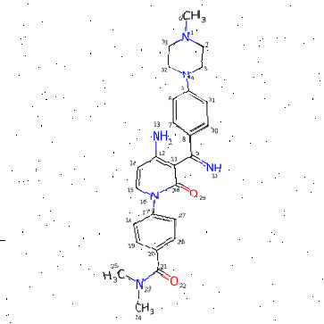 CN1CCN(c2ccc(C(=N)c3c(N)ccn(-c4ccc(C(=O)N(C)C)cc4)c3=O)cc2)CC1